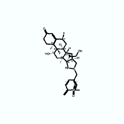 C=C(/C=C\C(=C/C)CN1C[C@@H]2C[C@H]3[C@@H]4C[C@H](F)C5=CC(=O)CC[C@]5(C)[C@@]4(F)[C@@H](O)C[C@]3(C)[C@]2(C(=O)CO)P1)S(C)(=O)=O